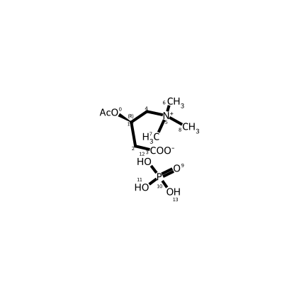 CC(=O)O[C@H](CC(=O)[O-])C[N+](C)(C)C.O=P(O)(O)O